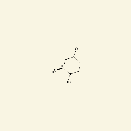 C[C@H]1C[S+]([O-])CCN1C(C)(C)C